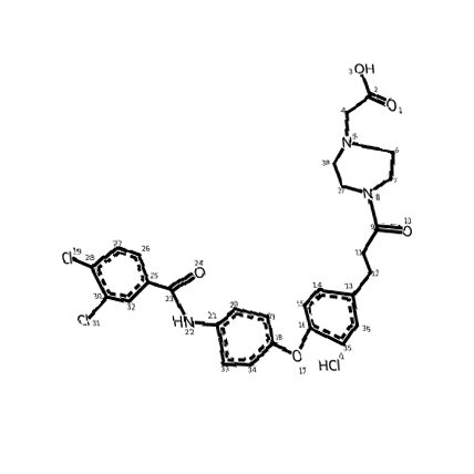 Cl.O=C(O)CN1CCN(C(=O)CCc2ccc(Oc3ccc(NC(=O)c4ccc(Cl)c(Cl)c4)cc3)cc2)CC1